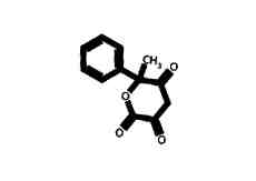 CC1(c2ccccc2)OC(=O)C(=O)CC1=O